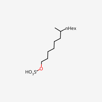 CCCCCCC(C)CCCCCCOS(=O)(=O)O